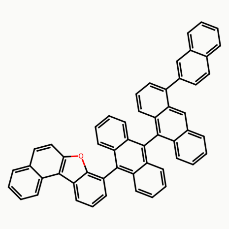 c1ccc2cc(-c3cccc4c(-c5c6ccccc6c(-c6cccc7c6oc6ccc8ccccc8c67)c6ccccc56)c5ccccc5cc34)ccc2c1